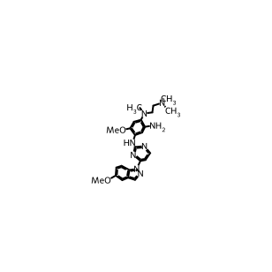 COc1ccc2c(cnn2-c2ccnc(Nc3cc(N)c(N(C)CCN(C)C)cc3OC)n2)c1